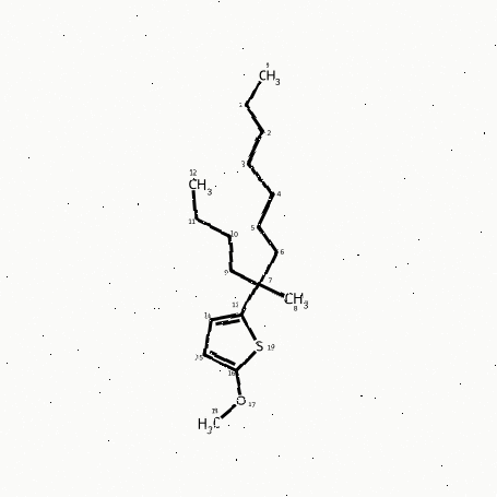 CCCCCCCC(C)(CCCC)c1ccc(OC)s1